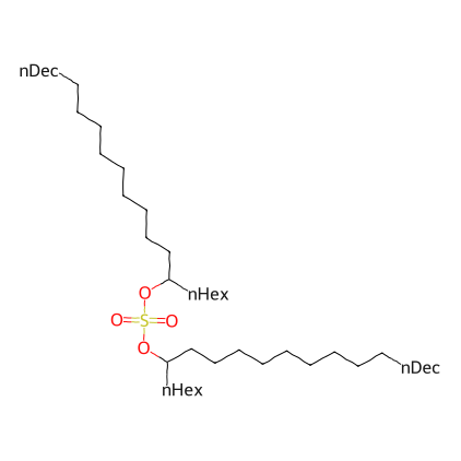 CCCCCCCCCCCCCCCCCCCC(CCCCCC)OS(=O)(=O)OC(CCCCCC)CCCCCCCCCCCCCCCCCCC